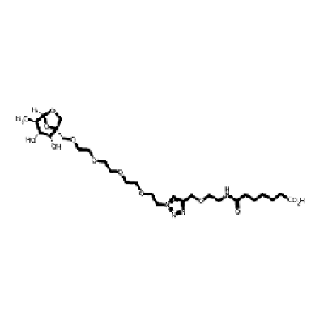 C[C@H]1[C@H]2OC[C@](COCCOCCOCCOCCn3cc(COCCNC(=O)CCCCCC(=O)O)nn3)(O2)[C@H](O)[C@@H]1O